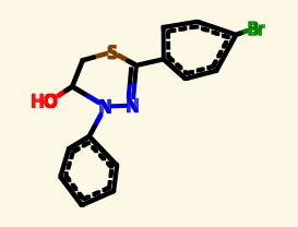 OC1CSC(c2ccc(Br)cc2)=NN1c1ccccc1